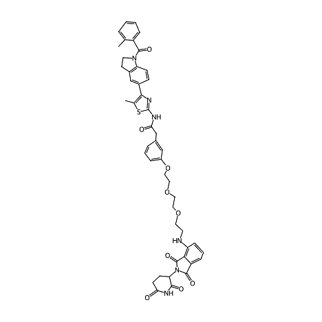 Cc1ccccc1C(=O)N1CCc2cc(-c3nc(NC(=O)Cc4cccc(OCCOCCOCCNc5cccc6c5C(=O)N(C5CCC(=O)NC5=O)C6=O)c4)sc3C)ccc21